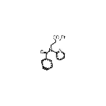 CCOC(=O)CCN(C(=O)c1cc#ccc1)c1ccccn1